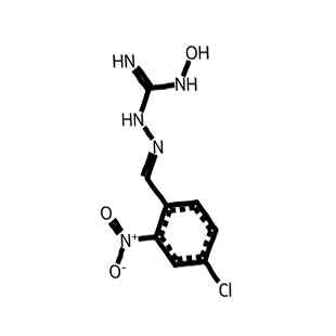 N=C(NO)N/N=C/c1ccc(Cl)cc1[N+](=O)[O-]